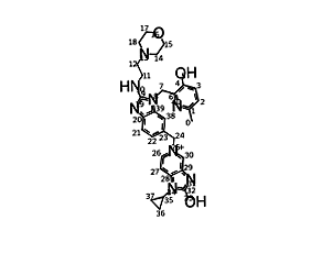 Cc1ccc(O)c(Cn2c(NCCN3CCOCC3)nc3ccc(C[n+]4ccc5c(c4)nc(O)n5C4CC4)cc32)n1